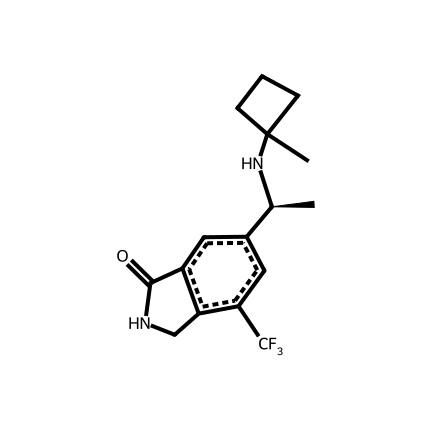 C[C@H](NC1(C)CCC1)c1cc2c(c(C(F)(F)F)c1)CNC2=O